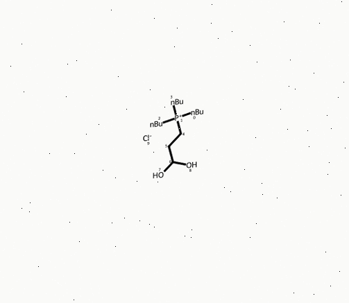 CCCC[P+](CCCC)(CCCC)CCC(O)O.[Cl-]